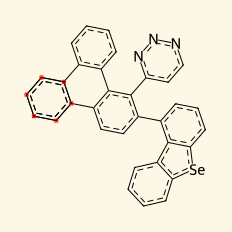 c1ccc(-c2ccccc2-c2c(-c3ccccc3)ccc(-c3cccc4[se]c5ccccc5c34)c2-c2ccnnn2)cc1